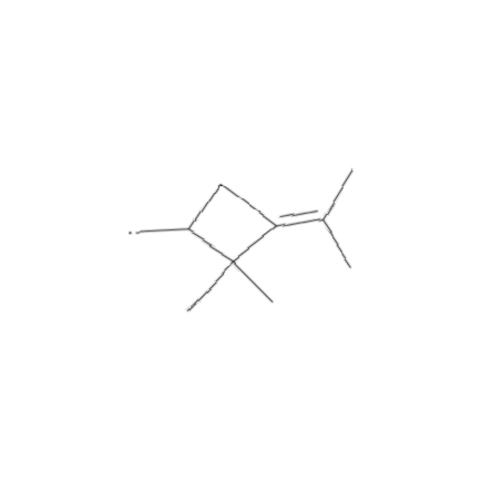 [CH2]C1CC(=C(C)C)C1(C)C